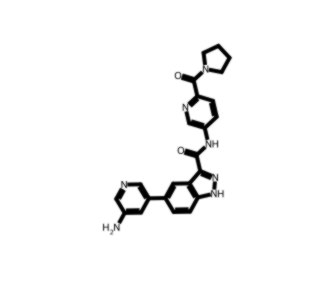 Nc1cncc(-c2ccc3[nH]nc(C(=O)Nc4ccc(C(=O)N5CCCC5)nc4)c3c2)c1